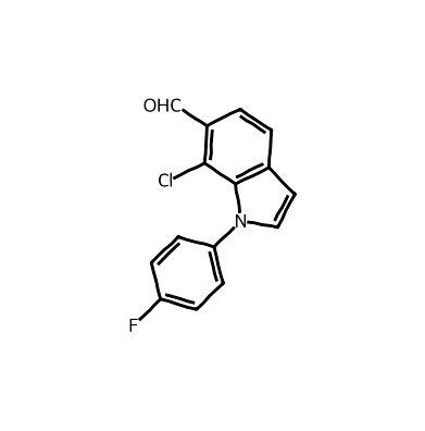 O=Cc1ccc2ccn(-c3ccc(F)cc3)c2c1Cl